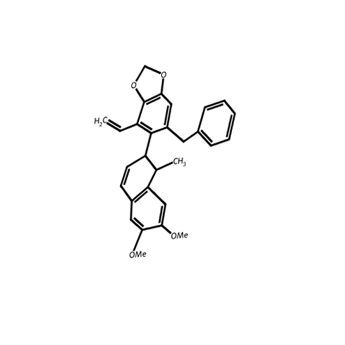 C=Cc1c2c(cc(Cc3ccccc3)c1C1C=Cc3cc(OC)c(OC)cc3C1C)OCO2